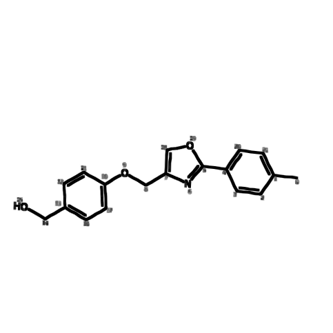 Cc1ccc(-c2nc(COc3ccc(CO)cc3)co2)cc1